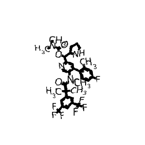 Cc1cc(F)ccc1-c1cc(C(OC(=O)N(C)C)C2CCCN2)ncc1N(C)C(=O)C(C)(C)c1cc(C(F)(F)F)cc(C(F)(F)F)c1